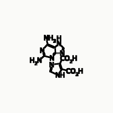 Nc1nc(N)c2[nH]cnc2n1.O=C(O)c1nc[nH]c1C(=O)O